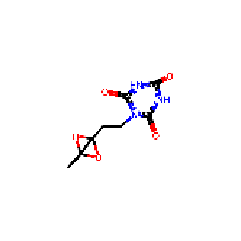 CC12OC1(CCn1c(=O)[nH]c(=O)[nH]c1=O)O2